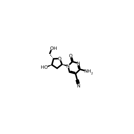 N#Cc1cn([C@H]2C[C@@H](O)[C@H](CO)O2)c(=O)nc1N